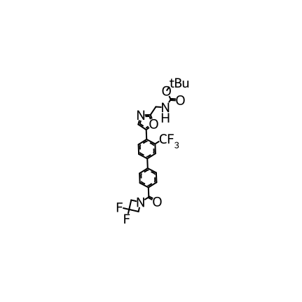 CC(C)(C)OC(=O)NCc1ncc(-c2ccc(-c3ccc(C(=O)N4CC(F)(F)C4)cc3)cc2C(F)(F)F)o1